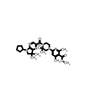 COC(=O)c1c(C)cc(N2CCN(C(=O)c3cnc4c(n3)C(C)(C)CN4C3CCCC3)C(C)(C)C2)nc1C